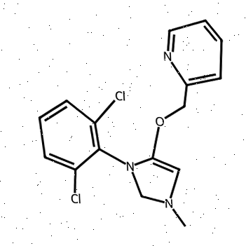 CN1C=C(OCc2ccccn2)N(c2c(Cl)cccc2Cl)C1